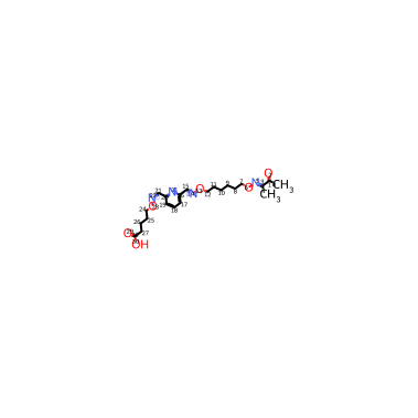 CC(=O)/C(C)=N/OCCCCCCO/N=C/c1cccc(/C=N\OCCCCC(=O)O)n1